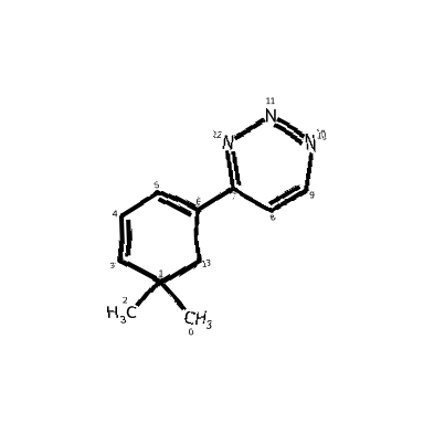 CC1(C)C=CC=C(c2ccnnn2)C1